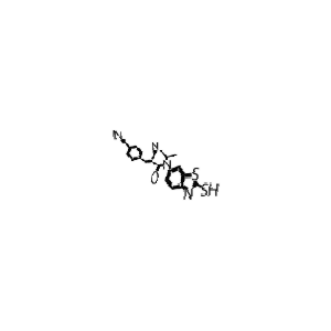 CC(C)N(C(=O)C(C#N)=Cc1ccc(C#N)cc1)c1ccc2nc(S)sc2c1